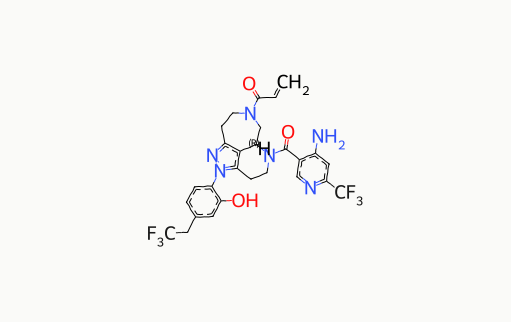 C=CC(=O)N1CCc2nn(-c3ccc(CC(F)(F)F)cc3O)c3c2[C@H](C1)N(C(=O)c1cnc(C(F)(F)F)cc1N)CC3